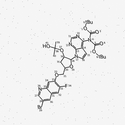 CC(C)(C)OC(=O)N(C(=O)OC(C)(C)C)c1ncnc2c1ccn2C1OC(COc2cc3ncc(Br)cc3cc2F)CC1OC(C)(C)O